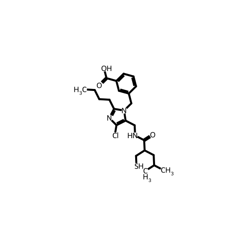 CCCCc1nc(Cl)c(CNC(=O)C(CS)CC(C)C)n1Cc1cccc(C(=O)O)c1